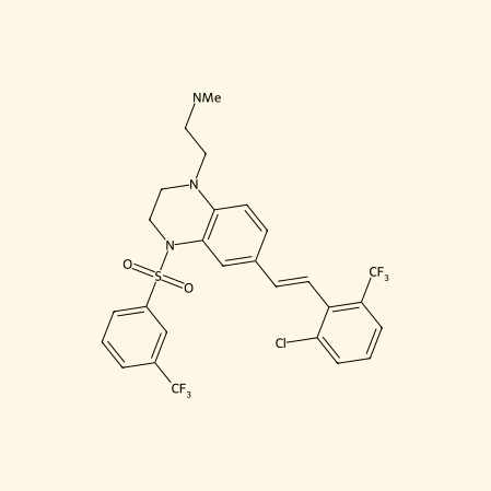 CNCCN1CCN(S(=O)(=O)c2cccc(C(F)(F)F)c2)c2cc(/C=C/c3c(Cl)cccc3C(F)(F)F)ccc21